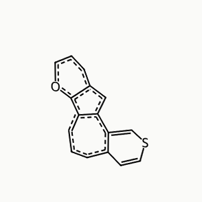 C1=Cc2cccc3c(cc4cccoc43)c2=CS1